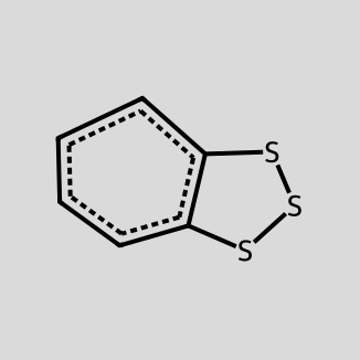 c1ccc2c(c1)SSS2